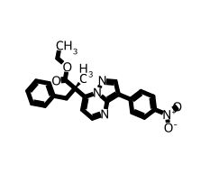 CCOC(=O)[C@@](C)(Cc1ccccc1)c1ccnc2c(-c3ccc([N+](=O)[O-])cc3)cnn12